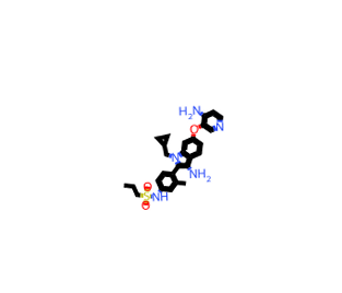 CCCS(=O)(=O)Nc1ccc(-c2c(N)c3ccc(Oc4cnccc4N)cc3n2CC2CC2)c(C)c1